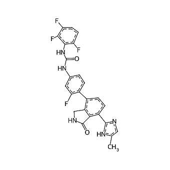 Cc1cnc(-c2ccc(-c3ccc(NC(=O)Nc4c(F)ccc(F)c4F)cc3F)c3c2C(=O)NC3)[nH]1